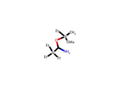 CC[Si](C)(OC)OC(N)[Si](CC)(CC)CC